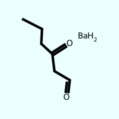 CCCC(=O)CC=O.[BaH2]